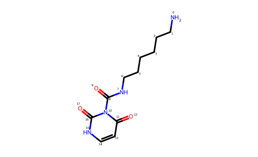 NCCCCCCNC(=O)n1c(=O)cc[nH]c1=O